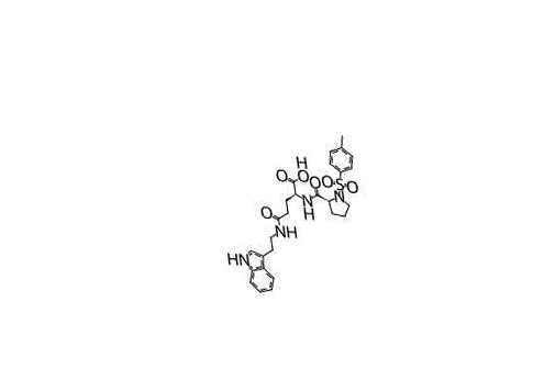 Cc1ccc(S(=O)(=O)N2CCC[C@H]2C(=O)N[C@@H](CCC(=O)NCCc2c[nH]c3ccccc23)C(=O)O)cc1